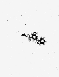 CCCOC(=O)c1cccc(N2CCc3ccccc32)c1.Cl